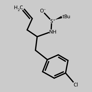 C=CCC(Cc1ccc(Cl)cc1)N[S@@+]([O-])C(C)(C)C